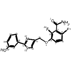 NC(=O)c1c(F)ccc(OCc2csc(-c3cccc(O)c3)n2)c1F